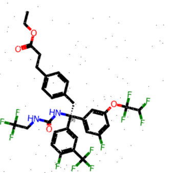 CCOC(=O)CCc1ccc(C[C@](NC(=O)NCC(F)(F)F)(c2cc(F)cc(OC(F)(F)C(F)F)c2)c2ccc(F)c(C(F)(F)F)c2)cc1